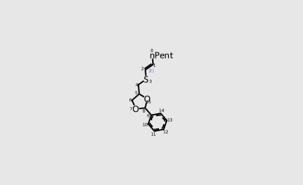 CCCCC/C=C/SCC1COC(c2ccccc2)O1